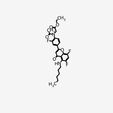 CCCCCCNc1c(F)cc(F)c2oc(-c3ccc(N(CC(=O)OCC)C(C)=O)c(F)c3)cc(=O)c12